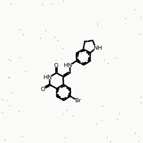 O=C1NC(=O)c2ccc(Br)cc2/C1=C/Nc1ccc2c(c1)CCN2